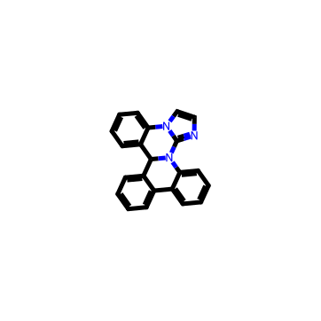 c1ccc2c(c1)-c1ccccc1N1c3nccn3-c3ccccc3C21